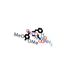 COc1cc(C(=O)N(CCCc2ccccc2)Cc2nc(C(=O)NS(N)(=O)=O)co2)cc(OC)c1C